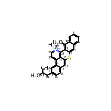 Cc1c2c(cc3ccccc13)Sc1cc3ccc(CC(C)C)cc3c3cc[n+](C)c-2c13